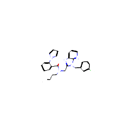 CCCCN(Cc1nc2cccnc2n1Cc1cccc(Cl)c1)C(=O)c1ccccc1-n1cccc1